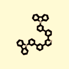 c1cc(-c2cccc(-n3c4ccccc4c4ccccc43)c2)cc(-c2ccnc(-c3cccc(-c4cccc(-n5c6ccccc6c6ccccc65)c4)c3)c2)c1